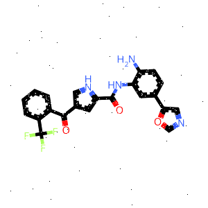 Nc1ccc(-c2cnco2)cc1NC(=O)c1cc(C(=O)c2ccccc2C(F)(F)F)c[nH]1